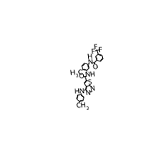 Cc1ccc(Nc2ncnc3sc(C(=O)Nc4cc(NC(=O)c5cccc(C(F)(F)F)c5)ccc4C)cc23)cc1